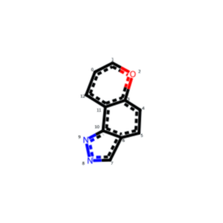 c1coc2ccc3cnnc3c2c1